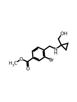 COC(=O)c1ccc(CNC2(CO)CC2)c(Br)c1